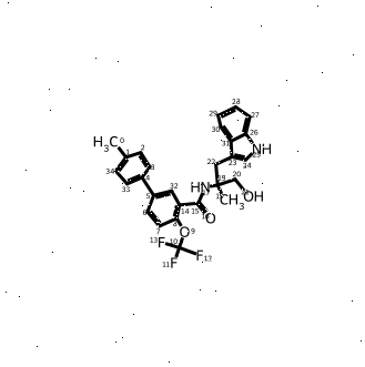 Cc1ccc(-c2ccc(OC(F)(F)F)c(C(=O)NC(C)(CO)Cc3c[nH]c4ccccc34)c2)cc1